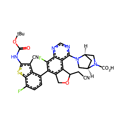 CC(C)(C)OC(=O)Nc1sc2c(F)ccc(-c3c4c(c5c(N6C[C@H]7C[C@@H]6CN7C(=O)O)ncnc5c3F)C(CC#N)OC4)c2c1C#N